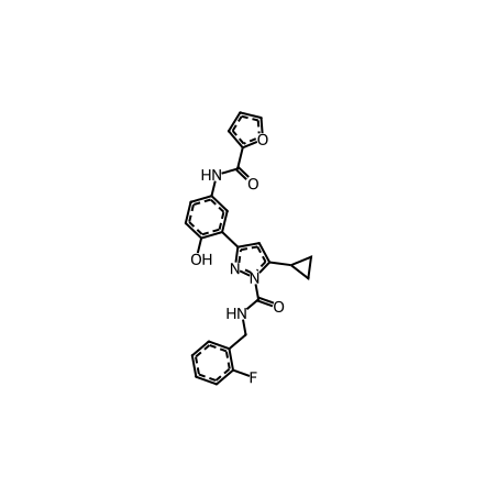 O=C(Nc1ccc(O)c(-c2cc(C3CC3)n(C(=O)NCc3ccccc3F)n2)c1)c1ccco1